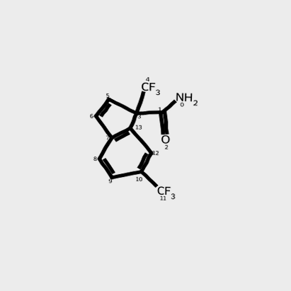 NC(=O)C1(C(F)(F)F)C=Cc2ccc(C(F)(F)F)cc21